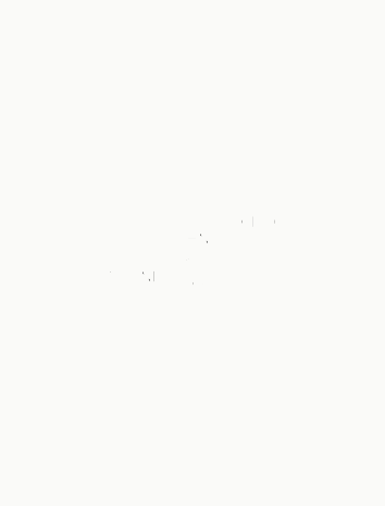 [2H]NCC(=O)NCC=O